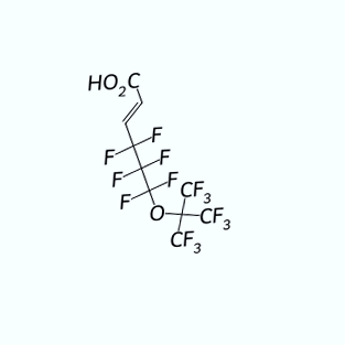 O=C(O)C=CC(F)(F)C(F)(F)C(F)(F)OC(C(F)(F)F)(C(F)(F)F)C(F)(F)F